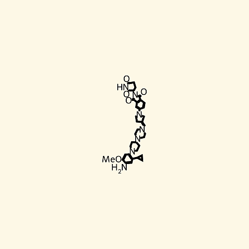 COc1cc(N2CCC(N3CCN(C=C4CCN(c5ccc6c(c5)C(=O)N(C5CCC(=O)NC5=O)C6=O)C4)CC3)CC2)c(C2CC2)cc1N